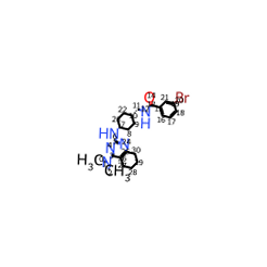 CN(C)c1nc(N[C@H]2CC[C@@H](CNC(=O)c3cccc(Br)c3)CC2)nc2c1CCCC2